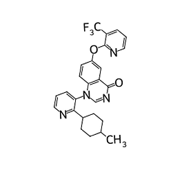 CC1CCC(c2ncccc2-n2cnc(=O)c3cc(Oc4ncccc4C(F)(F)F)ccc32)CC1